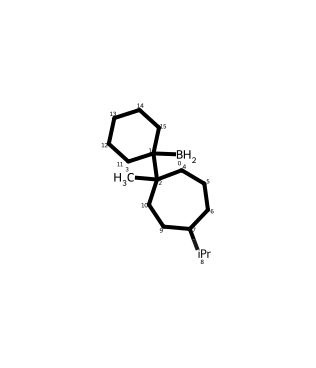 BC1(C2(C)CCCC(C(C)C)CC2)CCCCC1